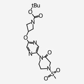 CC(C)(C)OC(=O)N1CC(Oc2cnc(N3CCN(S(C)(=O)=O)CC3=O)cn2)C1